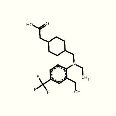 CCN(CC1CCC(CC(=O)O)CC1)c1ccc(C(F)(F)F)cc1CO